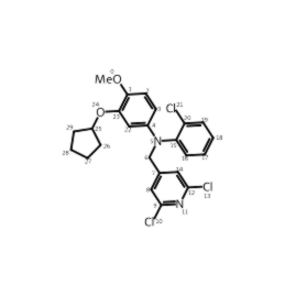 COc1ccc(N(Cc2cc(Cl)nc(Cl)c2)c2ccccc2Cl)cc1OC1CCCC1